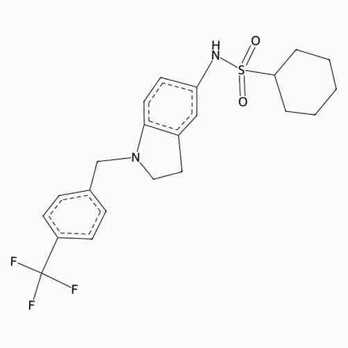 O=S(=O)(Nc1ccc2c(c1)CCN2Cc1ccc(C(F)(F)F)cc1)C1CCCCC1